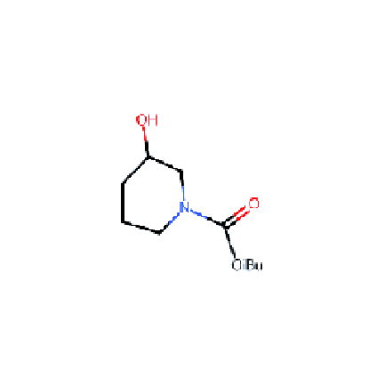 CC(C)COC(=O)N1CCCC(O)C1